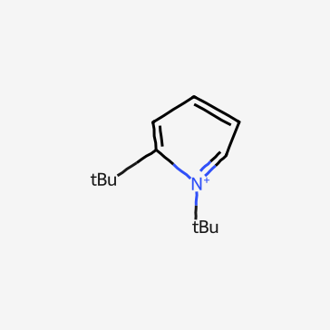 CC(C)(C)c1cccc[n+]1C(C)(C)C